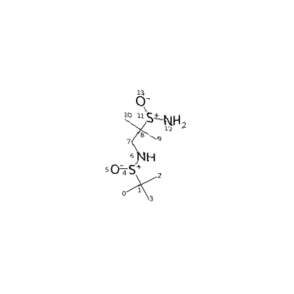 CC(C)(C)[S+]([O-])NCC(C)(C)[S+](N)[O-]